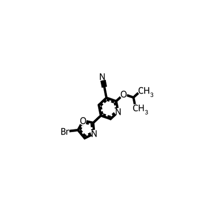 CC(C)Oc1ncc(-c2ncc(Br)o2)cc1C#N